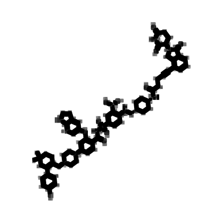 CC1(C)CCC(CN2CCN(c3ccc(C(=O)NS(=O)(=O)c4ccc(NC[C@H]5CC[C@@H](NC(=O)CCC#Cc6cccc7c6CN(C6CCC(=O)NC6=O)C7=O)CC5)c([N+](=O)[O-])c4)c(Oc4cnc5[nH]ccc5c4)c3)CC2)=C(c2ccc(Cl)cc2)C1